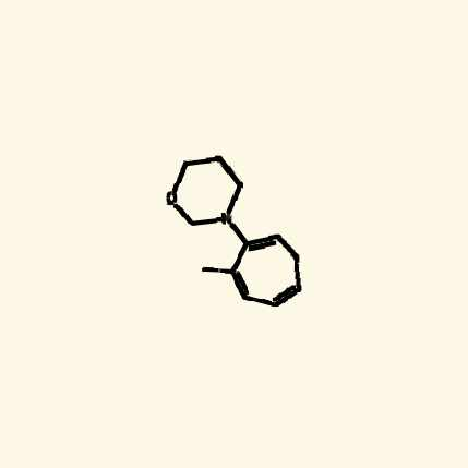 CC1=CC=CCC=C1N1CCCOC1